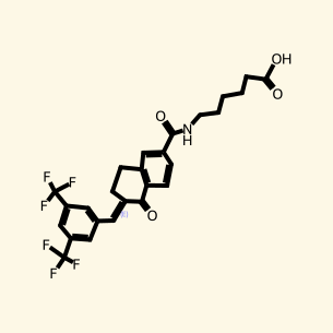 O=C(O)CCCCCNC(=O)c1ccc2c(c1)CC/C(=C\c1cc(C(F)(F)F)cc(C(F)(F)F)c1)C2=O